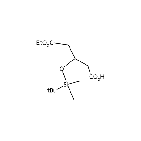 CCOC(=O)CC(CC(=O)O)O[Si](C)(C)C(C)(C)C